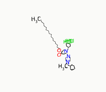 CCCCCCCCCCCCCCCCCCOc1cn(Cc2ccccc2)c(CN2CCN(C(C)c3ccccc3)CC2)cc1=O.Cl.Cl.Cl